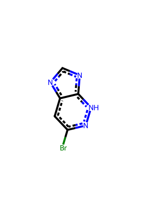 Brc1cc2ncnc-2[nH]n1